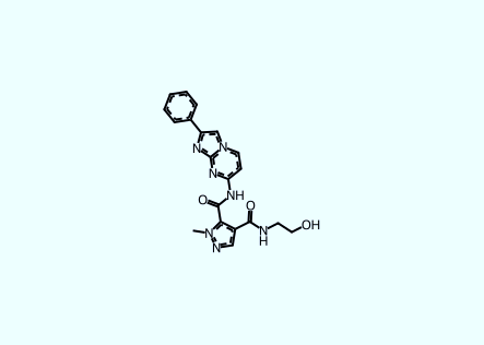 Cn1ncc(C(=O)NCCO)c1C(=O)Nc1ccn2cc(-c3ccccc3)nc2n1